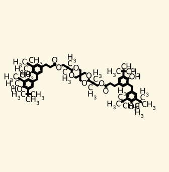 CC(C)(C)c1cc(CCC(=O)OCC(C)(C)C2OCC3(CO2)COC(C(C)(C)COC(=O)CCc2cc(Cc4cc(C(C)(C)C)c(O)c(C(C)(C)C)c4)c(O)c(C(C)(C)C)c2)OC3)cc(Cc2cc(C(C)(C)C)c(O)c(C(C)(C)C)c2)c1O